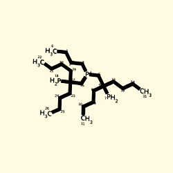 CCCCP(CC(P)(CCCC)CCCC)CC(P)(CCCC)CCCC